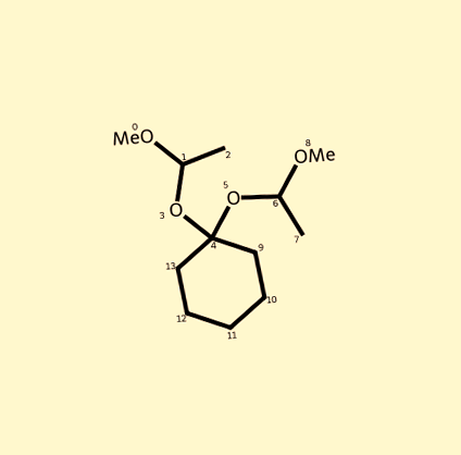 COC(C)OC1(OC(C)OC)CCCCC1